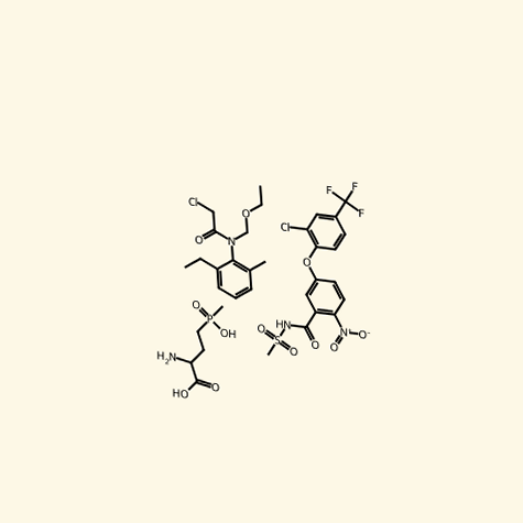 CCOCN(C(=O)CCl)c1c(C)cccc1CC.CP(=O)(O)CCC(N)C(=O)O.CS(=O)(=O)NC(=O)c1cc(Oc2ccc(C(F)(F)F)cc2Cl)ccc1[N+](=O)[O-]